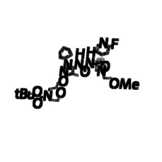 COCCN1C[C@@H](NC(=O)Nc2c(C)c(OCC3CN(C(=O)OC(C)(C)C)CCO3)nn2-c2ccccc2)[C@H](c2ccnc(F)c2)O1